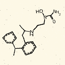 CC(Cc1ccccc1C(C)c1ccccc1)NCCN(O)C(N)=O